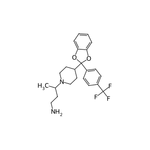 CC(CCN)N1CCC(C2(c3ccc(C(F)(F)F)cc3)Oc3ccccc3O2)CC1